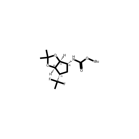 CC(C)(C)OC(=O)N[C@@H]1C[C@H](C(C)(F)F)[C@H]2OC(C)(C)O[C@H]21